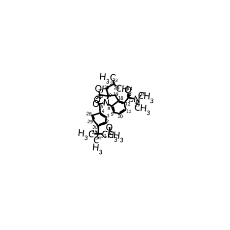 COc1cc(C(=O)N2c3cccc(C(=O)N(C)C)c3CC2(CC(C)C)C(=O)O)ccc1C(C)(C)C